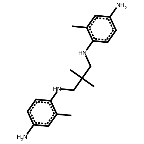 Cc1cc(N)ccc1NCC(C)(C)CNc1ccc(N)cc1C